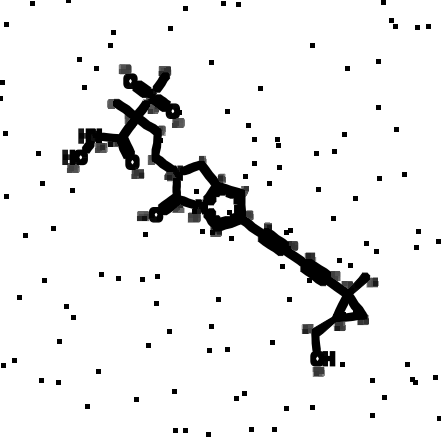 CC(CCN1Cc2cc(C#CC#C[C@]3(C)C[C@H]3CO)cn2C1=O)(C(=O)NO)S(C)(=O)=O